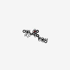 CCN(CCOC(=O)NC1CCCCC1)c1ccc2c(-c3ccccc3S(=O)(=O)[O-])c3cc/c(=[N+](/CC)CCOC(=O)NC4CCCCC4)cc-3oc2c1